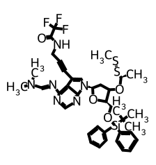 CSS[C@@H](C)OC1C[C@H](n2cc(C#CCNC(=O)C(F)(F)F)c3c(/N=C/N(C)C)ncnc32)O[C@@H]1CO[Si](c1ccccc1)(c1ccccc1)C(C)(C)C